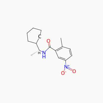 Cc1ccc([N+](=O)[O-])cc1C(=O)N[C@H](C)C1CCCCC1